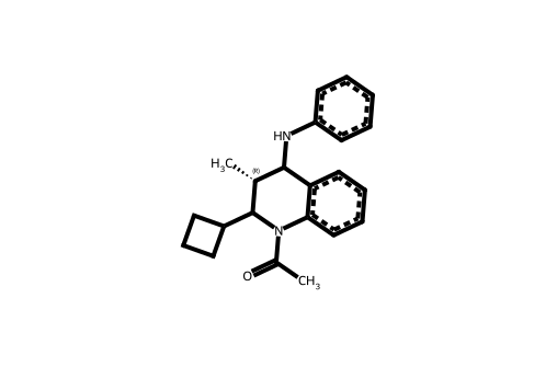 CC(=O)N1c2ccccc2C(Nc2ccccc2)[C@@H](C)C1C1CCC1